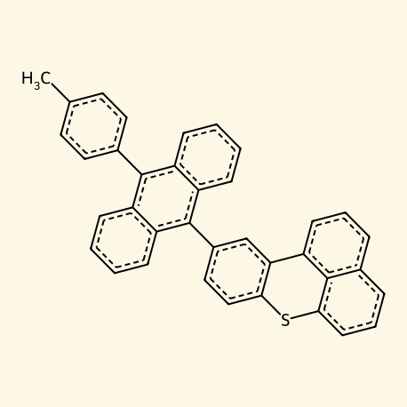 Cc1ccc(-c2c3ccccc3c(-c3ccc4c(c3)-c3cccc5cccc(c35)S4)c3ccccc23)cc1